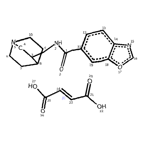 O=C(NC1CN2CCC1CC2)c1ccc2ncoc2c1.O=C(O)/C=C/C(=O)O